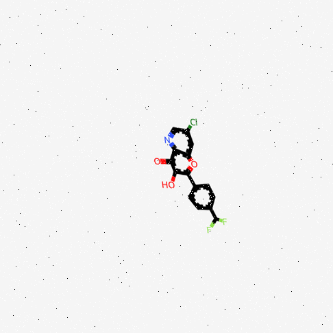 O=c1c(O)c(-c2ccc(C(F)F)cc2)oc2cc(Cl)cnc12